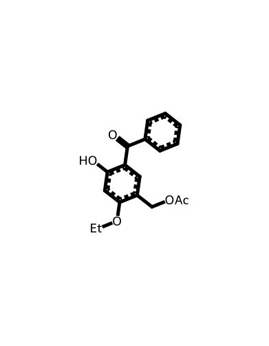 CCOc1cc(O)c(C(=O)c2ccccc2)cc1COC(C)=O